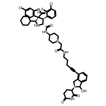 O=C(CN1CCC(NC(=O)[C@@H]2NC(C3CCCCC3)[C@@]3(C(=O)Nc4cc(Cl)ccc43)[C@H]2c2cccc(Cl)c2F)CC1)NCCCC#Cc1cccc2c1CN(C1CCC(=O)NC1=O)C2O